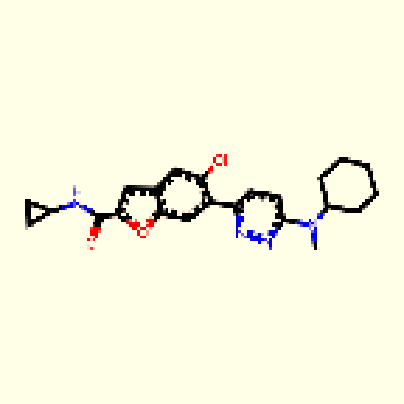 CN(c1ccc(-c2cc3oc(C(=O)NC4CC4)cc3cc2O)nn1)C1CCCCC1